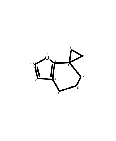 c1noc2c1CCCC21CC1